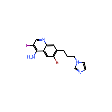 Nc1c(I)cnc2cc(CCCn3ccnc3)c(Br)cc12